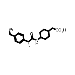 CC(C)Cc1ccc([C@@H](C)C(=O)NC2CCC(CC(=O)O)CC2)cc1